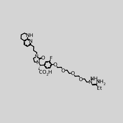 CC/C(N)=C/N(N)CCOCCOCCOCCOc1ccc([C@H](CC(=O)O)N2CCN(CCCc3ccc4c(n3)NCCC4)C2=O)cc1F